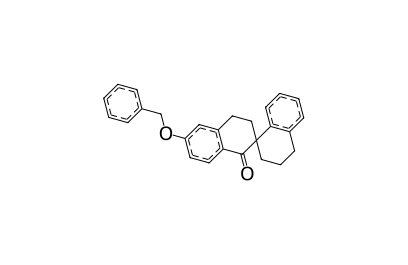 O=C1c2ccc(OCc3ccccc3)cc2CCC12CCCc1ccccc12